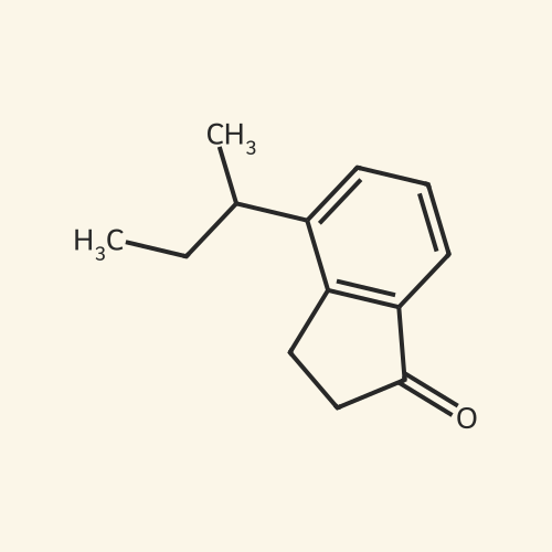 CCC(C)c1cccc2c1CCC2=O